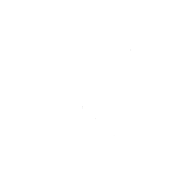 CC(C)(C)C1CCC(CC(C)(C)C2COC2)O1